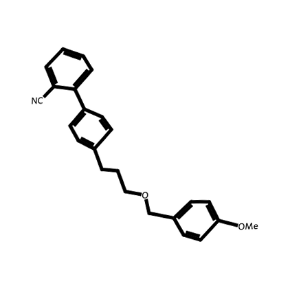 COc1ccc(COCCCc2ccc(-c3ccccc3C#N)cc2)cc1